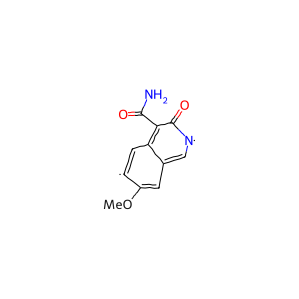 COc1[c]cc2c(c1)=C[N]C(=O)C=2C(N)=O